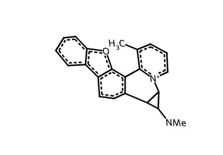 CNC1C2c3ccc4c(oc5ccccc54)c3-c3c(C)ccc[n+]3C12